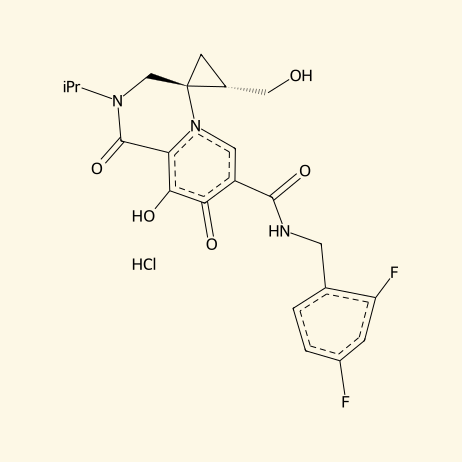 CC(C)N1C[C@]2(C[C@@H]2CO)n2cc(C(=O)NCc3ccc(F)cc3F)c(=O)c(O)c2C1=O.Cl